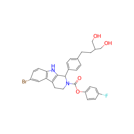 O=C(Oc1ccc(F)cc1)N1CCc2c([nH]c3ccc(Br)cc23)C1c1ccc(CCC(CO)CO)cc1